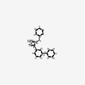 c1ccc(Cn2[nH]nc2-c2cccc(-c3ccccc3)c2)cc1